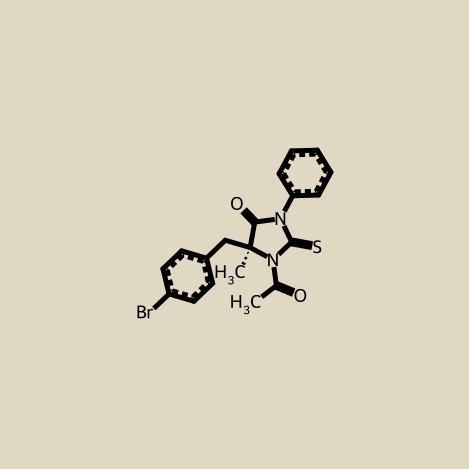 CC(=O)N1C(=S)N(c2ccccc2)C(=O)[C@]1(C)Cc1ccc(Br)cc1